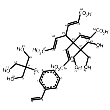 C=Cc1ccccc1.CCC(CO)(CO)CO.O=C(O)C=CC(C=CC(=O)O)C(C=CC(=O)O)(C=CC(=O)O)C(CO)(CO)CO